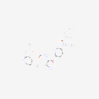 Cc1noc(-c2ccc(N(C)C(=O)C3CCCCC3)cn2)c1NC(=O)O[C@@H](C)c1cccnc1Cl